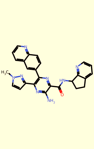 Cn1ccc(-c2nc(N)c(C(=O)NC3CCc4cccnc43)nc2-c2ccc3ncccc3c2)n1